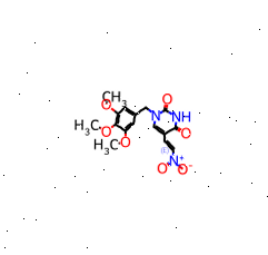 COc1cc(Cn2cc(/C=C/[N+](=O)[O-])c(=O)[nH]c2=O)cc(OC)c1OC